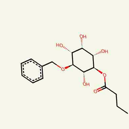 CCCC(=O)O[C@H]1[C@H](O)[C@@H](OCc2ccccc2)[C@H](O)[C@H](O)[C@@H]1O